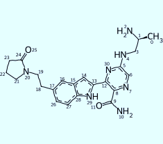 C[C@H](N)CNc1cnc(C(N)=O)c(-c2cc3cc(CCN4CCCC4=O)ccc3[nH]2)n1